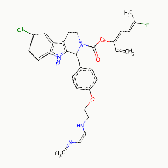 C=C/C(=C\C=C(/C)F)OC(=O)N1CCc2c([nH]c3c2=CC(Cl)CC=3)C1c1ccc(OCCN/C=C\N=C)cc1